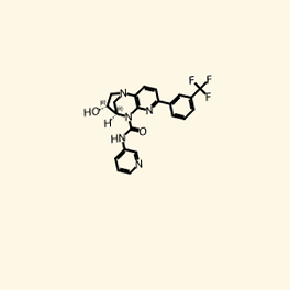 O=C(Nc1cccnc1)N1c2nc(-c3cccc(C(F)(F)F)c3)ccc2N2C[C@@H](O)[C@H]1C2